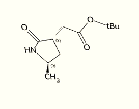 C[C@@H]1C[C@@H](CC(=O)OC(C)(C)C)C(=O)N1